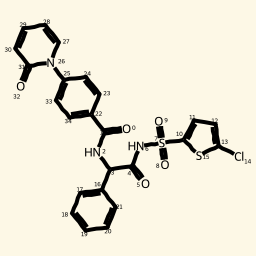 O=C(NC(C(=O)NS(=O)(=O)c1ccc(Cl)s1)c1ccccc1)c1ccc(-n2ccccc2=O)cc1